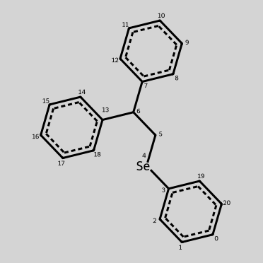 c1ccc([Se]CC(c2ccccc2)c2ccccc2)cc1